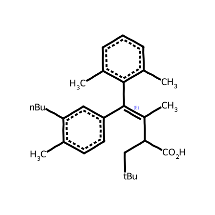 CCCCc1cc(/C(=C(/C)C(CC(C)(C)C)C(=O)O)c2c(C)cccc2C)ccc1C